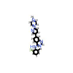 Cc1cccc(F)c1Nc1ncnc2cc(-c3ccc(N4CCN(C)CC4)nc3)ccc12